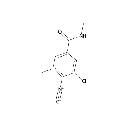 [C-]#[N+]c1c(C)cc(C(=O)NC)cc1Cl